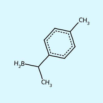 BC(C)c1ccc(C)cc1